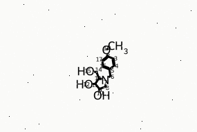 COc1ccc(CN2CC(O)C(O)C2CO)cc1